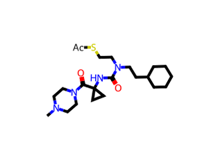 CC(=O)SCCN(CCC1CCCCC1)C(=O)NC1(C(=O)N2CCN(C)CC2)CC1